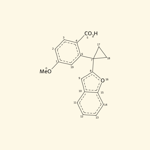 COc1ccc(C(=O)O)c(C2(c3cc4ccccc4o3)CC2)c1